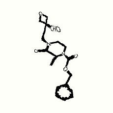 CC1C(=O)N(CC2(C=O)COC2)CCN1C(=O)OCc1ccccc1